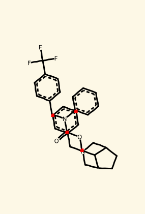 O=C(OCC1C2CCC1CN(Cc1ccccc1)C2)N(Cc1ccc(C(F)(F)F)cc1)c1ccccc1